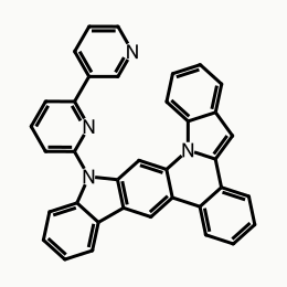 c1cncc(-c2cccc(-n3c4ccccc4c4cc5c6ccccc6c6cc7ccccc7n6c5cc43)n2)c1